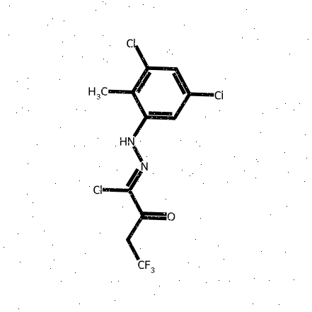 Cc1c(Cl)cc(Cl)cc1NN=C(Cl)C(=O)CC(F)(F)F